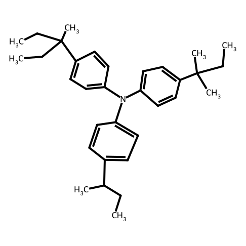 CCC(C)c1ccc(N(c2ccc(C(C)(C)CC)cc2)c2ccc(C(C)(CC)CC)cc2)cc1